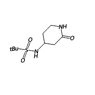 CC(C)(C)S(=O)(=O)NC1CCNC(=O)C1